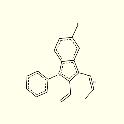 C=Cc1c(/C=C\C)c2cc(I)ccc2n1-c1ccccc1